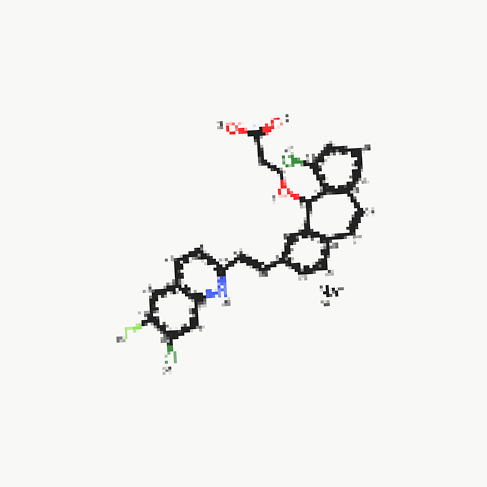 O=C([O-])CCOC1c2cc(C=Cc3ccc4cc(F)c(Cl)cc4n3)ccc2C=Cc2cccc(Cl)c21.[Na+]